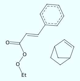 C1=CC2CCC1C2.CCOOC(=O)C=Cc1ccccc1